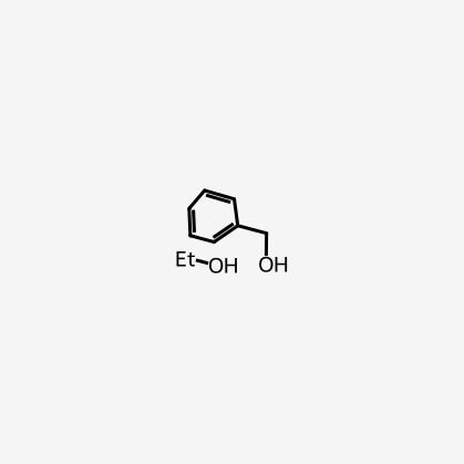 CCO.OCc1ccccc1